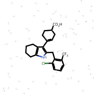 O=C(O)C1CC=C(c2c(Cc3c(Cl)cccc3C(F)(F)F)[nH]c3c2CCCC3)CC1